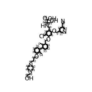 Cc1c(COc2cc(OCc3cncc(C#N)c3)c(CN[C@@](C)(CO)C(=O)O)cc2Cl)cccc1-c1cccc(OCCCN2CCN(CCO)CC2)c1C